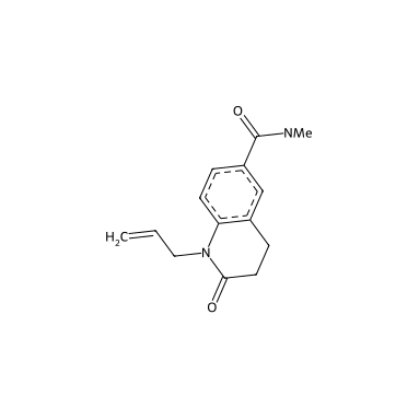 C=CCN1C(=O)CCc2cc(C(=O)NC)ccc21